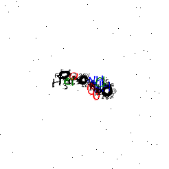 CC(Oc1ccccc1Cl)c1ccc(NC(=O)NC(=O)c2ccccc2Cl)cc1